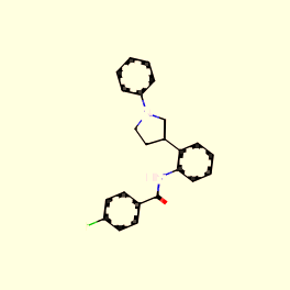 O=C(Nc1ccccc1C1CCN(c2ccccc2)C1)c1ccc(Cl)cc1